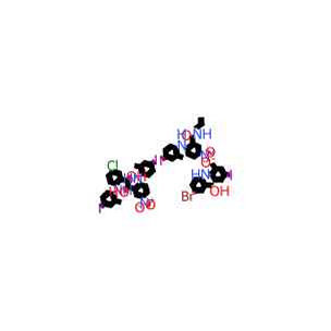 C=CCNC(=O)c1cc([N+](=O)[O-])ccc1Nc1ccc(I)cc1C.Cc1cc(I)ccc1Nc1ccc(Br)cc1CO.Cc1cc(I)ccc1Nc1ccc(Cl)cc1C(O)C(O)c1cc([N+](=O)[O-])ccc1Nc1ccc(I)cc1C